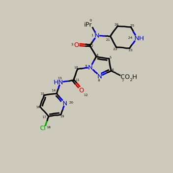 CC(C)N(C(=O)c1cc(C(=O)O)nn1CC(=O)Nc1ccc(Cl)cn1)C1CCNCC1